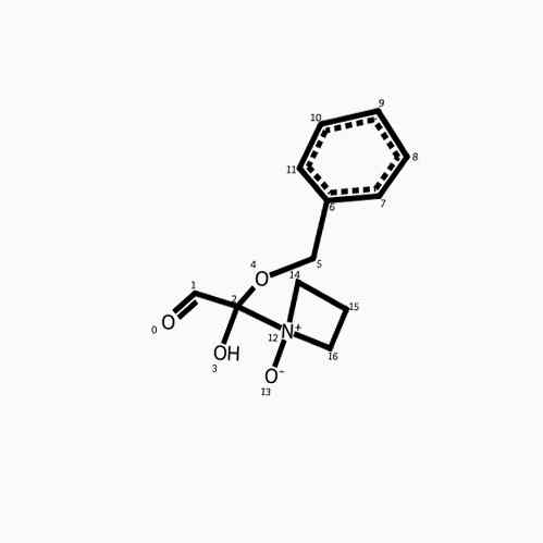 O=CC(O)(OCc1ccccc1)[N+]1([O-])CCC1